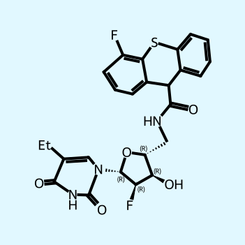 CCc1cn([C@@H]2O[C@H](CNC(=O)C3c4ccccc4Sc4c(F)cccc43)[C@@H](O)[C@H]2F)c(=O)[nH]c1=O